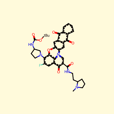 CN1CCCC1CCNC(=O)c1cn2c3cc4c(=O)c5ccccc5c(=O)c4cc3oc3c(N4CCC(NC(=O)OC(C)(C)C)C4)c(F)cc(c1=O)c32